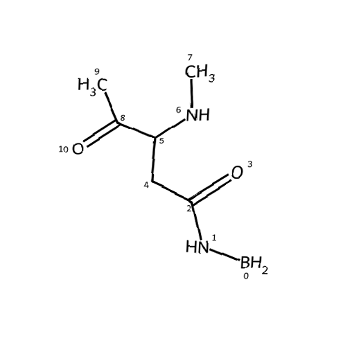 BNC(=O)CC(NC)C(C)=O